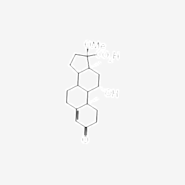 CO[C@]1(C(=O)O)CCC2C3CCC4=CC(=O)CC[C@]4(C)C3[C@@H](O)C[C@@]21C